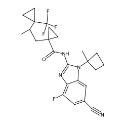 CC(CC1(C(=O)Nc2nc3c(F)cc(C#N)cc3n2C2(C)CCC2)CC1)C1(C(F)(F)F)CC1